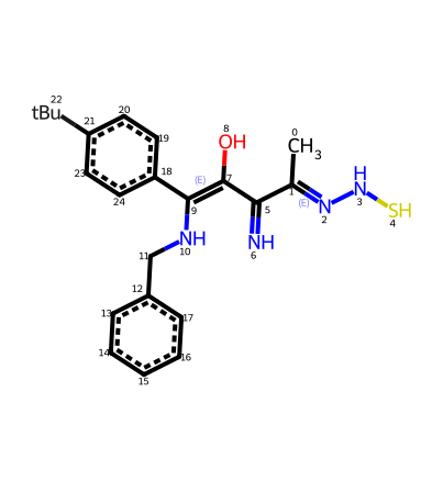 C/C(=N\NS)C(=N)/C(O)=C(\NCc1ccccc1)c1ccc(C(C)(C)C)cc1